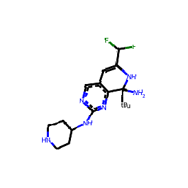 CC(C)(C)C1(N)NC(C(F)F)=Cc2cnc(NC3CCNCC3)nc21